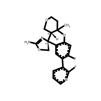 CC12CCOC[C@H]1[C@]1(COC(N)=N1)c1cc(-c3cccnc3F)c(F)cc1O2